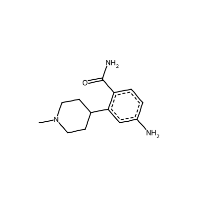 CN1CCC(c2cc(N)ccc2C(N)=O)CC1